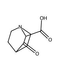 O=C(O)C1C(=O)C2CCN1CC2